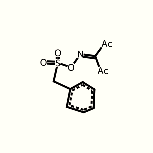 CC(=O)C(=NOS(=O)(=O)Cc1ccccc1)C(C)=O